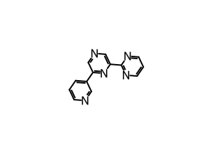 c1cnc(-c2cncc(-c3cccnc3)n2)nc1